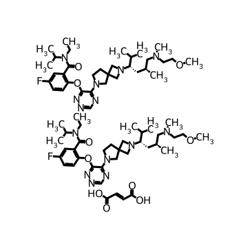 CCN(C(=O)c1cc(F)ccc1Oc1nncnc1N1CCC2(C1)CN([C@@H](C[C@H](C)CN(C)CCOC)C(C)C)C2)C(C)C.CCN(C(=O)c1cc(F)ccc1Oc1nncnc1N1CCC2(C1)CN([C@@H](C[C@H](C)CN(C)CCOC)C(C)C)C2)C(C)C.O=C(O)/C=C/C(=O)O